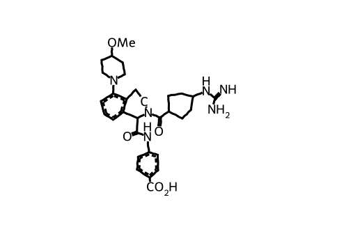 COC1CCN(c2cccc3c2CCN(C(=O)C2CCC(NC(=N)N)CC2)C3C(=O)Nc2ccc(C(=O)O)cc2)CC1